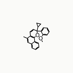 COc1ccccc1C1(C2CC2)C=Cc2c(C)cc3ccccc3c2O1